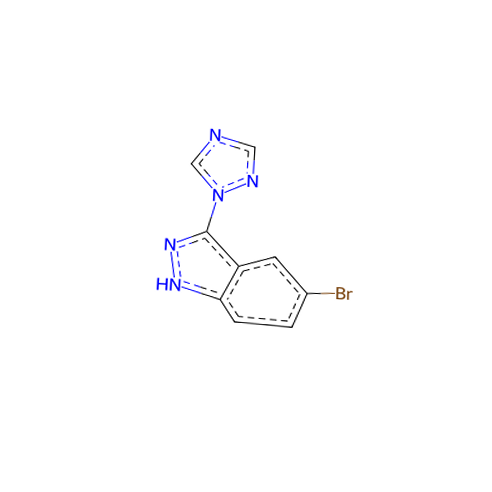 Brc1ccc2[nH]nc(-n3cncn3)c2c1